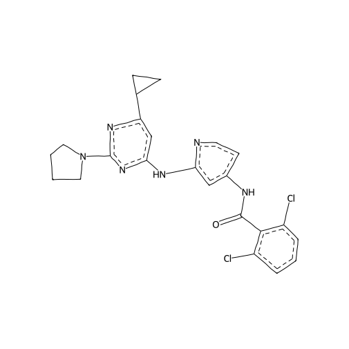 O=C(Nc1ccnc(Nc2cc(C3CC3)nc(N3CCCC3)n2)c1)c1c(Cl)cccc1Cl